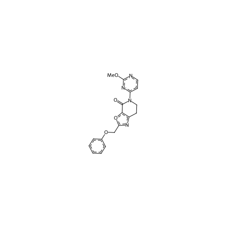 COc1nccc(N2CCc3nc(COc4ccccc4)oc3C2=O)n1